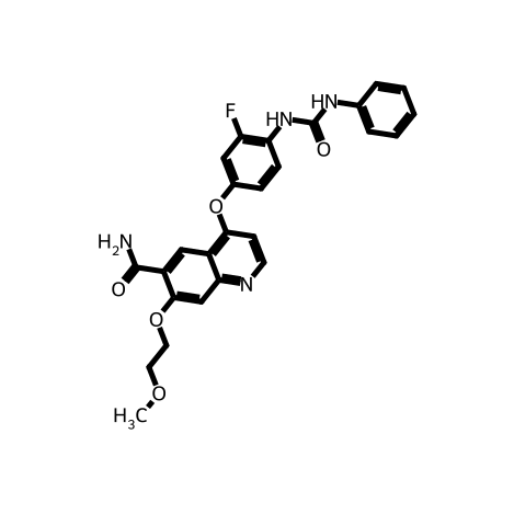 COCCOc1cc2nccc(Oc3ccc(NC(=O)Nc4ccccc4)c(F)c3)c2cc1C(N)=O